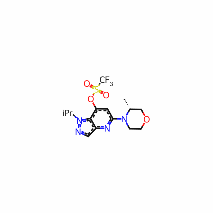 CC(C)n1ncc2nc(N3CCOC[C@H]3C)cc(OS(=O)(=O)C(F)(F)F)c21